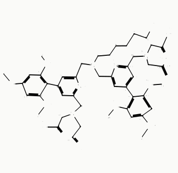 COc1cc(OC)c(-c2cc(CN(CC=O)CC(=O)O)nc(CN(CCCCCCO)Cc3cc(-c4c(OC)cc(OC)cc4OC)cc(CN(CC(=O)O)CC(=O)O)n3)c2)c(OC)c1